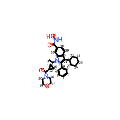 CCn1c(-c2ccccc2[C@H]2CC2C(=O)N2CCOCC2)c(C2CCCCC2)c2ccc(C(=O)NO)cc21